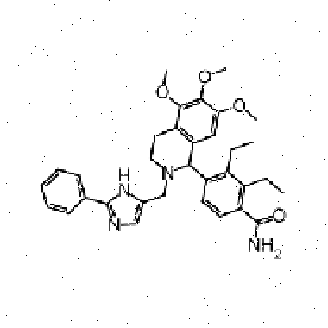 CCc1c(C(N)=O)ccc(C2c3cc(OC)c(OC)c(OC)c3CCN2Cc2cnc(-c3ccccc3)[nH]2)c1CC